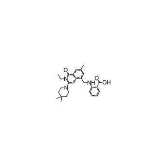 CCn1c(N2CCC(C)(C)CC2)cc2c(CNc3ccccc3C(=O)O)cc(C)cc2c1=O